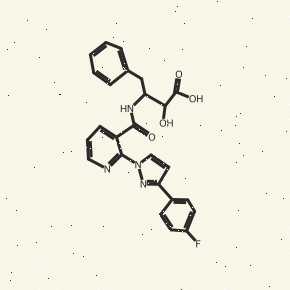 O=C(NC(Cc1ccccc1)C(O)C(=O)O)c1cccnc1-n1ccc(-c2ccc(F)cc2)n1